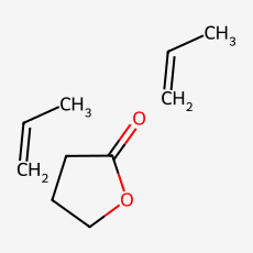 C=CC.C=CC.O=C1CCCO1